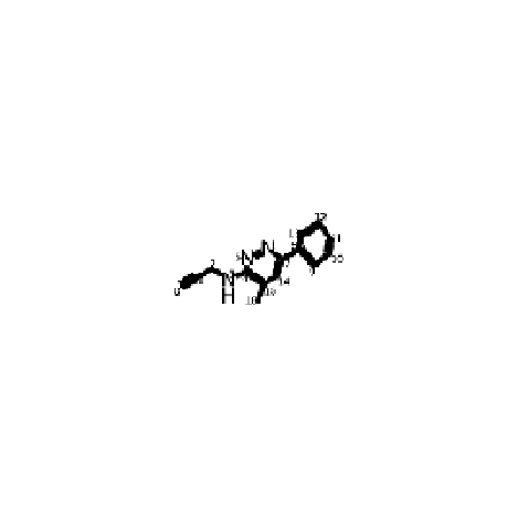 C#CCNc1nnc(-c2ccccc2)cc1C